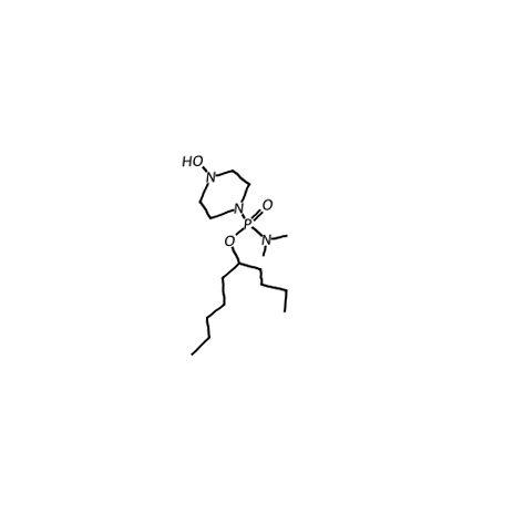 CCCCCC(CCCC)OP(=O)(N(C)C)N1CCN(O)CC1